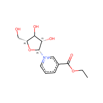 CCOC(=O)c1ccc[n+]([C@@H]2O[C@H](CO)C(O)[C@@H]2O)c1